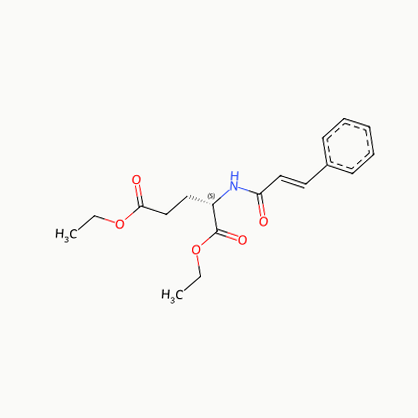 CCOC(=O)CC[C@H](NC(=O)C=Cc1ccccc1)C(=O)OCC